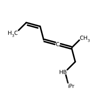 C/C=C\C=C=C(C)CBC(C)C